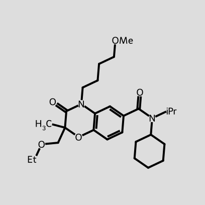 CCOCC1(C)Oc2ccc(C(=O)N(C(C)C)C3CCCCC3)cc2N(CCCCOC)C1=O